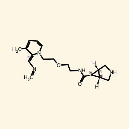 C=N/C=C1/C(C)=CC=CN1CCOCCNC(=O)[C@H]1[C@@H]2CNC[C@@H]21